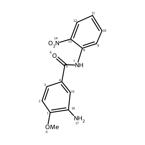 COc1ccc(C(=O)Nc2ccccc2[N+](=O)[O-])cc1N